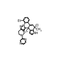 CCc1cccc2c1-n1nc3c(c1C1(C)C2=CC(C)(Cl)c2[nH]ccc21)CN(c1cnccn1)CC3